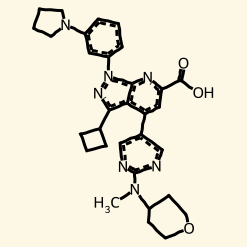 CN(c1ncc(-c2cc(C(=O)O)nc3c2c(C2CCC2)nn3-c2cccc(N3CCCC3)c2)cn1)C1CCOCC1